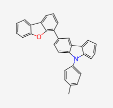 Cc1ccc(-n2c3ccccc3c3cc(-c4cccc5c4oc4ccccc45)ccc32)cc1